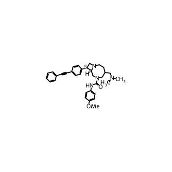 COc1ccc(NC(=O)N2CC(CN(C)C)CCN3C[C@H](c4ccc(C#Cc5ccccc5)cc4)[C@@H]3C2)cc1